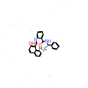 C[C@H](NC(=O)c1ccccc1N=Cc1c(O)ccc2ccccc12)c1ccccc1